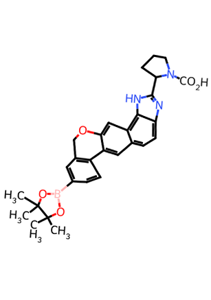 CC1(C)OB(c2ccc3c(c2)COc2cc4c(ccc5nc(C6CCCN6C(=O)O)[nH]c54)cc2-3)OC1(C)C